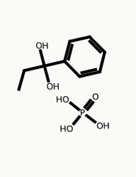 CCC(O)(O)c1ccccc1.O=P(O)(O)O